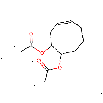 CC(=O)OC1CC=CCCCC1OC(C)=O